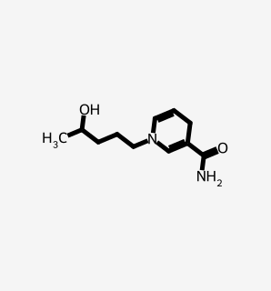 CC(O)CCCN1C=CCC(C(N)=O)=C1